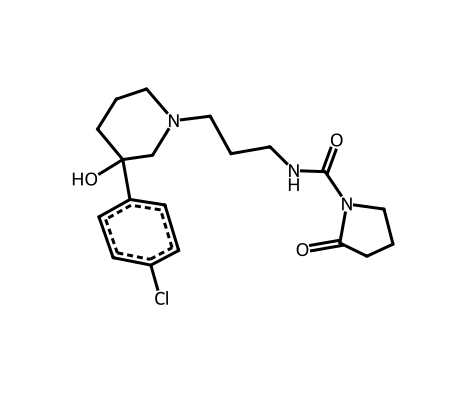 O=C1CCCN1C(=O)NCCCN1CCCC(O)(c2ccc(Cl)cc2)C1